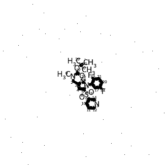 CN(Cc1cc(S(=O)(=O)c2cccnc2)n(-c2cc(F)ccc2F)n1)C(=O)OC(C)(C)C